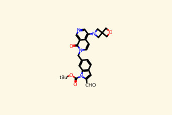 CC(C)(C)OC(=O)n1c(C=O)cc2ccc(Cn3ccc4c(N5CC6(COC6)C5)cncc4c3=O)cc21